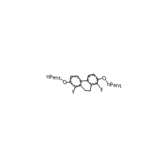 CCCCCOc1ccc2c(c1F)CCc1c-2ccc(OCCCCC)c1F